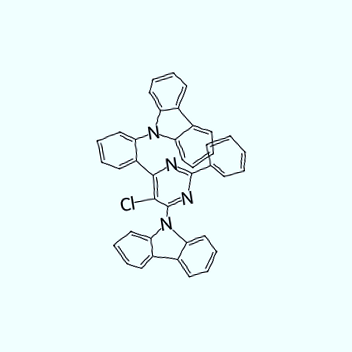 Clc1c(-c2ccccc2-n2c3ccccc3c3ccccc32)nc(-c2ccccc2)nc1-n1c2ccccc2c2ccccc21